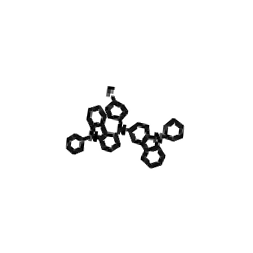 Fc1ccc(N(c2ccc3c(c2)c2ccccc2n3-c2ccccc2)c2cccc3c2c2ccccc2n3-c2ccccc2)cc1